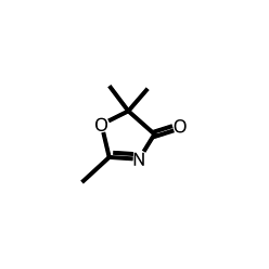 CC1=NC(=O)C(C)(C)O1